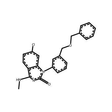 CNc1nc(=O)n(-c2cccc(COCc3ccccc3)c2)c2cc(Cl)ccc12